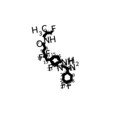 C[C@H](CF)CNC(=O)CCC(F)(F)Cc1ccc2[nH]c([C@@H](N)C3CCC(F)(F)CC3)nc2c1F